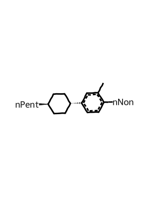 CCCCCCCCCc1ccc([C@H]2CC[C@H](CCCCC)CC2)cc1C